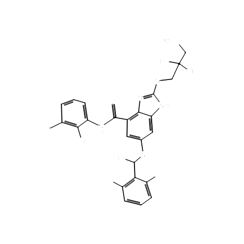 COCC(C)(C)CNc1nc2c(C(=O)Nc3cccc(Cl)c3C)cc(NC(O)c3c(F)cccc3Cl)cc2[nH]1